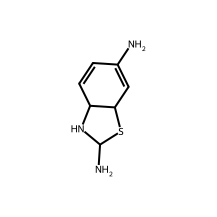 NC1=CC2SC(N)NC2C=C1